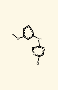 COc1cccc(Nc2cnc(Cl)cn2)c1